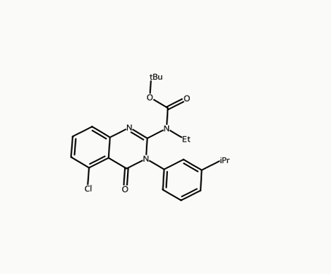 CCN(C(=O)OC(C)(C)C)c1nc2cccc(Cl)c2c(=O)n1-c1cccc(C(C)C)c1